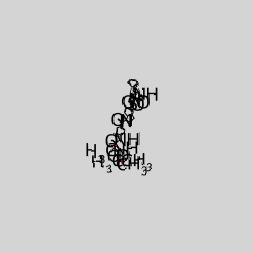 CC(NC(=O)OC(C)(C)C)C(=O)Nc1ccc(C(=O)N2CCc3cc(S(=O)(=O)N4C[C@H](c5ccccc5)NC4=O)ccc32)cc1